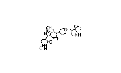 C[C@@H]1CNCC[C@@H]1CN1CCC(c2cc3c(cc2F)c(C2CCC(=O)NC2=O)nn3C)CC1